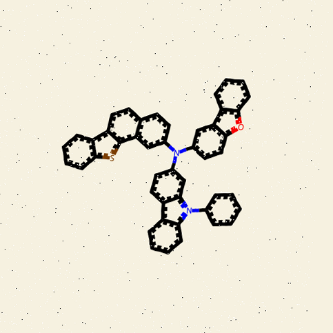 c1ccc(-n2c3ccccc3c3ccc(N(c4ccc5oc6ccccc6c5c4)c4ccc5ccc6c7ccccc7sc6c5c4)cc32)cc1